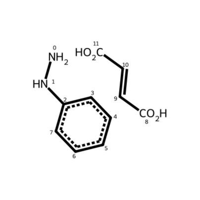 NNc1ccccc1.O=C(O)C=CC(=O)O